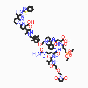 CCOP(=O)(CCCC(=O)N[C@@H](CC(=O)N(C)Cc1cc(NC(=O)[C@H](CCCNC(N)=O)NC(=O)[C@@H](NC(=O)CCOCCN2C(=O)C=CC2=O)C(C)C)ccc1C[N+]1(CCOC23CC4(C)CC(C)(C2)C(Cn2ncc(-c5ccc(N6CCCc7c6nnc(Nc6nc8ccccc8s6)c7C)nc5C(=O)O)c2C)(C4)C3)CCCC1)C(=O)O)OCC